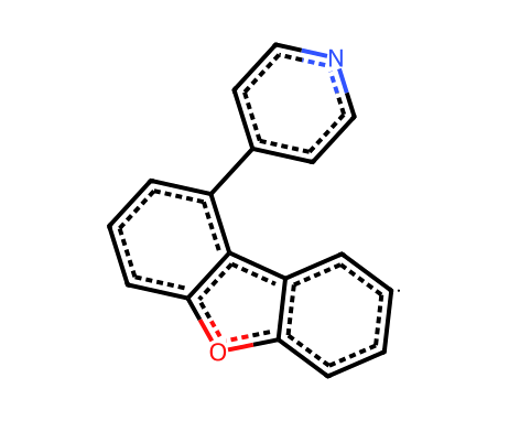 [c]1ccc2oc3cccc(-c4ccncc4)c3c2c1